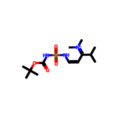 CC(C)C(/C=C\NS(=O)(=O)NC(=O)OC(C)(C)C)=[N+](C)C